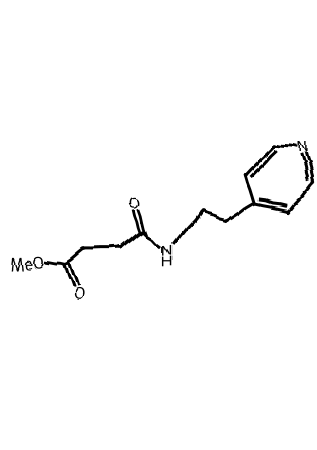 COC(=O)CCC(=O)NCCc1ccncc1